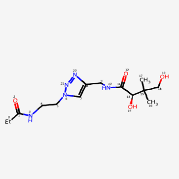 CCC(=O)NCCn1cc(CNC(=O)[C@H](O)C(C)(C)CO)nn1